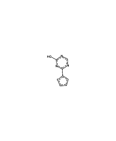 Oc1ncnc(-c2cccs2)n1